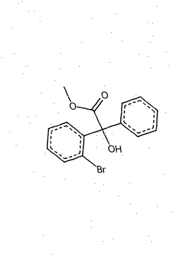 COC(=O)C(O)(c1ccccc1)c1ccccc1Br